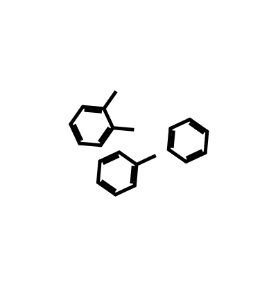 Cc1ccccc1.Cc1ccccc1C.c1ccccc1